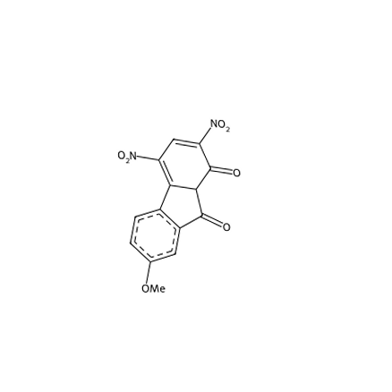 COc1ccc2c(c1)C(=O)C1C(=O)C([N+](=O)[O-])=CC([N+](=O)[O-])=C21